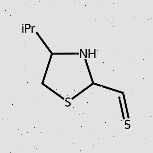 CC(C)C1CSC(C=S)N1